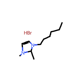 Br.CCCCCCN1C=CN(C)C1C